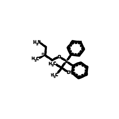 C[C@@H](CN)CO[Si](c1ccccc1)(c1ccccc1)C(C)(C)C